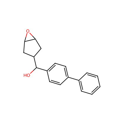 OC(c1ccc(-c2ccccc2)cc1)C1CC2OC2C1